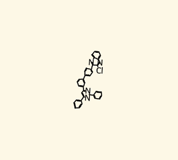 Clc1nc2ccccc2nc1-c1ccc(-c2cccc(-c3cc(-c4ccccc4)nc(-c4ccccc4)n3)c2)cc1